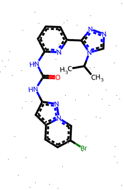 CC(C)n1cnnc1-c1cccc(NC(=O)Nc2cc3ccc(Br)cn3n2)n1